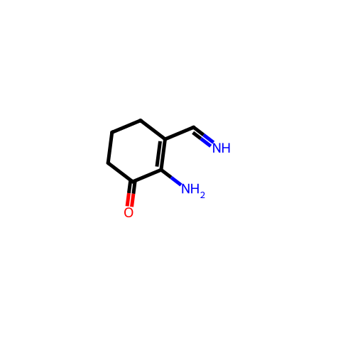 N=CC1=C(N)C(=O)CCC1